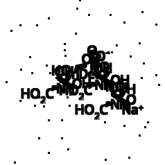 CCCCCCCCCCCCOS(=O)(=O)[O-].O=C(O)CNC(CO)(CO)CO.O=C(O)CNC(CO)(CO)CO.O=C(O)CNC(CO)(CO)CO.[Na+]